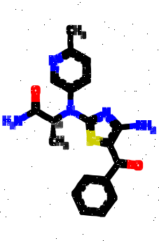 Cc1ccc(N(c2nc(N)c(C(=O)c3ccccc3)s2)[C@H](C)C(N)=O)cn1